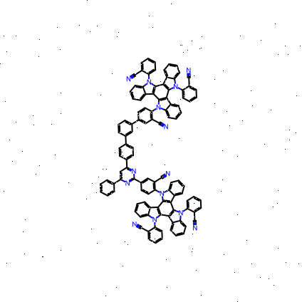 N#Cc1ccccc1-n1c2ccccc2c2c1c1c3ccccc3n(-c3ccc(-c4cccc(-c5ccc(-c6cc(-c7ccccc7)nc(-c7ccc(-n8c9ccccc9c9c%10c(c%11ccccc%11n%10-c%10ccccc%10C#N)c%10c(c%11ccccc%11n%10-c%10ccccc%10C#N)c98)c(C#N)c7)n6)cc5)c4)cc3C#N)c1c1c3ccccc3n(-c3ccccc3C#N)c21